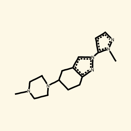 CN1CCN(C2CCc3nn(-c4ccnn4C)cc3C2)CC1